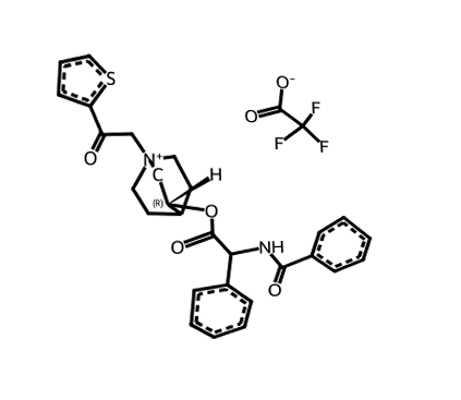 O=C(NC(C(=O)O[C@H]1C[N+]2(CC(=O)c3cccs3)CCC1CC2)c1ccccc1)c1ccccc1.O=C([O-])C(F)(F)F